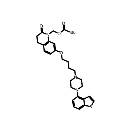 CCC(C)C(=O)OCN1C(=O)CCc2ccc(OCCCCN3CCN(c4cccc5sccc45)CC3)cc21